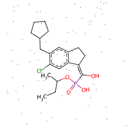 CCC(C)OP(=O)(O)C(O)=C1CCc2cc(CC3CCCC3)c(Cl)cc21